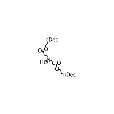 CCCCCCCCCCCCOC(=O)CCN(O)CCC(=O)OCCCCCCCCCCCC